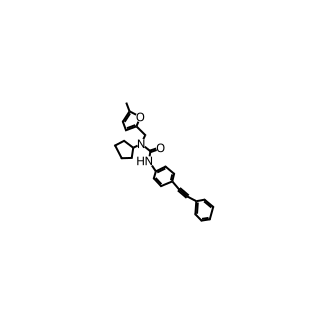 Cc1ccc(CN(C(=O)Nc2ccc(C#Cc3ccccc3)cc2)C2CCCC2)o1